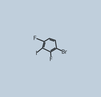 Fc1ccc(Br)c(F)c1I